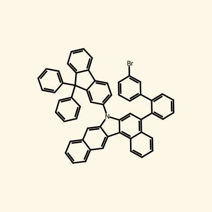 Brc1cccc(-c2ccccc2-c2cc3c(c4ccccc24)c2cc4ccccc4cc2n3-c2ccc3c(c2)C(c2ccccc2)(c2ccccc2)c2ccccc2-3)c1